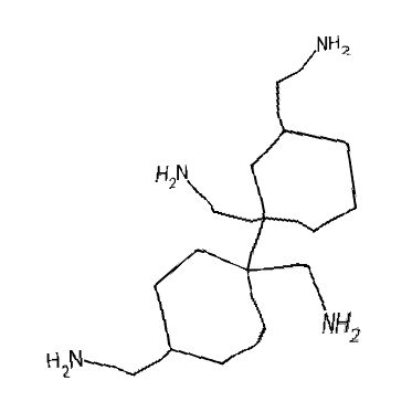 NCC1CCC(CN)(C2(CN)CCCC(CN)C2)CC1